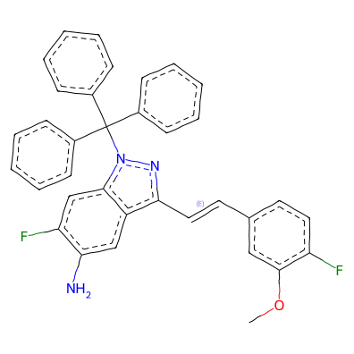 COc1cc(/C=C/c2nn(C(c3ccccc3)(c3ccccc3)c3ccccc3)c3cc(F)c(N)cc23)ccc1F